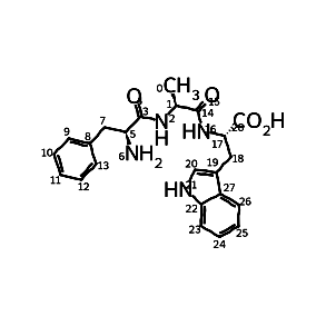 C[C@H](NC(=O)[C@@H](N)Cc1ccccc1)C(=O)N[C@@H](Cc1c[nH]c2ccccc12)C(=O)O